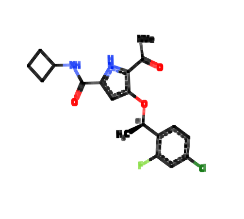 CNC(=O)c1[nH]c(C(=O)NC2CCC2)cc1O[C@H](C)c1ccc(Cl)cc1F